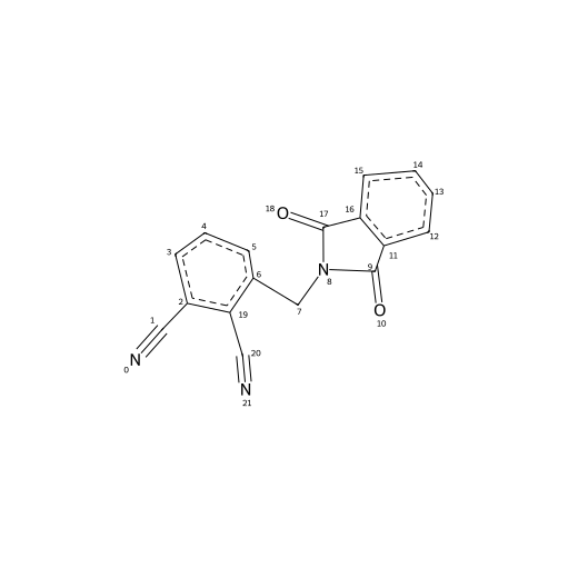 N#Cc1cccc(CN2C(=O)c3ccccc3C2=O)c1C#N